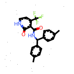 Cc1ccc(C(NC(=O)c2c(C(F)(F)F)cc[nH]c2=O)c2ccc(C)cc2)cc1